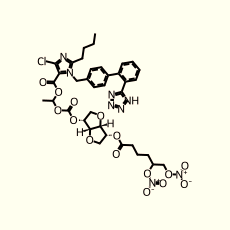 CCCCc1nc(Cl)c(C(=O)OC(C)OC(=O)O[C@@H]2CO[C@H]3[C@@H]2OC[C@H]3OC(=O)CCCC(CO[N+](=O)[O-])O[N+](=O)[O-])n1Cc1ccc(-c2ccccc2-c2nnn[nH]2)cc1